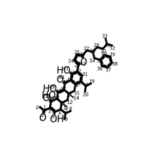 CC(=O)C1=C(O)C(C(C)C)[C@@]2(C)C[C@@]3(C)Cc4c(C(C)C)cc(-c5ccc(CC(CCC(C)C)Cc6ccccc6)o5)c(O)c4C(=O)C3=C(O)[C@@]2(O)C1=O